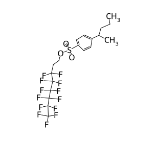 CCCC(C)c1ccc(S(=O)(=O)OCCC(F)(F)C(F)(F)C(F)(F)C(F)(F)C(F)(F)C(F)(F)F)cc1